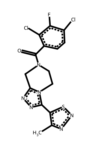 Cc1nnsc1-c1nnc2n1CCN(C(=O)c1ccc(Cl)c(F)c1Cl)C2